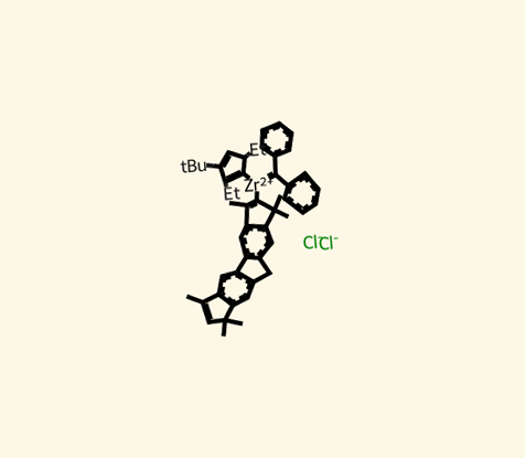 CCC1=[C]([Zr+2]([C]2=C(C)c3cc4c(cc3C2(C)C)Cc2cc3c(cc2-4)C(C)=CC3(C)C)=[C](c2ccccc2)c2ccccc2)C(CC)C=C1C(C)(C)C.[Cl-].[Cl-]